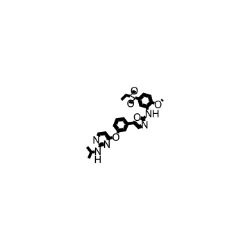 CCS(=O)(=O)c1ccc(OC)c(Nc2ncc(-c3cccc(Oc4ccnc(NC(C)C)n4)c3)o2)c1